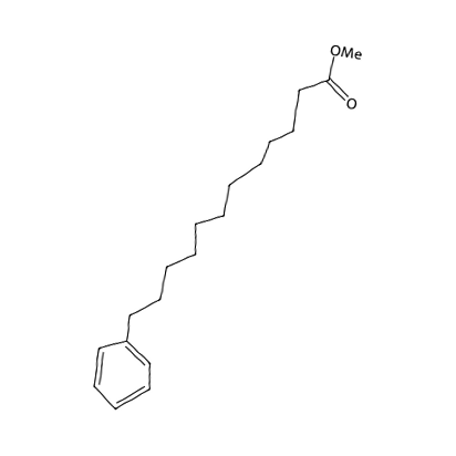 COC(=O)CCCCCCCCCCCc1ccccc1